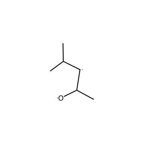 CC(C)[CH]C(C)[O]